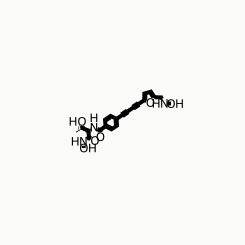 C[C@H](O)[C@H](NC(=O)c1ccc(C#CC#Cc2ccc(CNO)o2)cc1)C(=O)NO